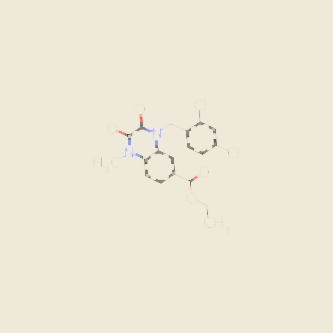 CCOC(=O)c1ccc2c(c1)n(Cc1ccc(Cl)cc1Cl)c(=O)c(=O)n2C